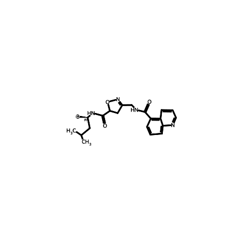 [B][C@H](CC(C)C)NC(=O)C1CC(CNC(=O)c2cccc3ncccc23)=NO1